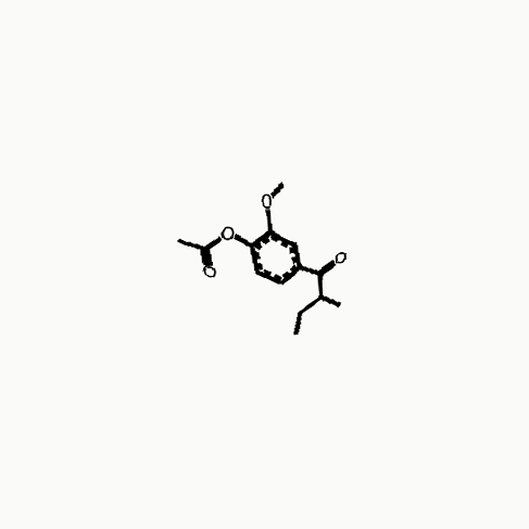 CCC(C)C(=O)c1ccc(OC(C)=O)c(OC)c1